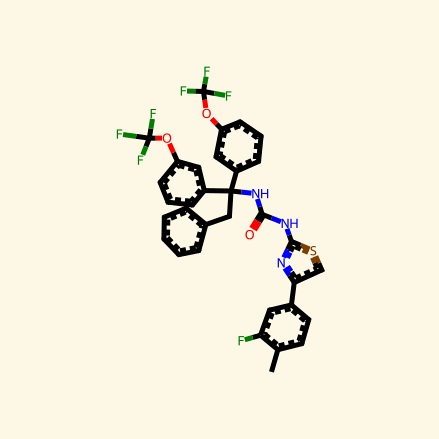 Cc1ccc(-c2csc(NC(=O)NC(Cc3ccccc3)(c3cccc(OC(F)(F)F)c3)c3cccc(OC(F)(F)F)c3)n2)cc1F